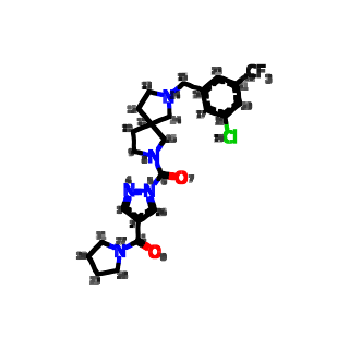 O=C(c1cnn(C(=O)N2CCC3(CCN(Cc4cc(Cl)cc(C(F)(F)F)c4)C3)C2)c1)N1CCCC1